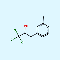 Cc1cccc(CC(O)C(Cl)(Cl)Cl)c1